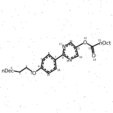 CCCCCCCCCCCCOc1ccc(-c2ncc(OC(=O)CCCCCCCC)cn2)cc1